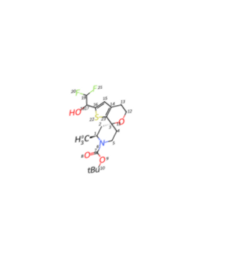 C[C@H]1C[C@@]2(CCN1C(=O)OC(C)(C)C)OCCc1cc(C(O)C(F)F)sc12